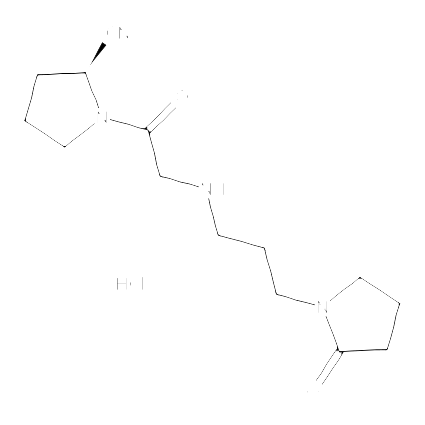 Cl.N#C[C@@H]1CCCN1C(=O)CNCCCN1CCCC1=O